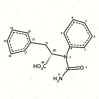 NC(=O)N(c1ccccc1)[C@@H](Cc1ccccc1)C(=O)O